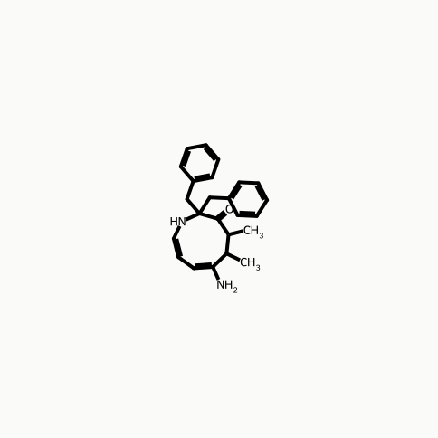 CC1C(=O)C(Cc2ccccc2)(Cc2ccccc2)N/C=C\C=C(\N)C1C